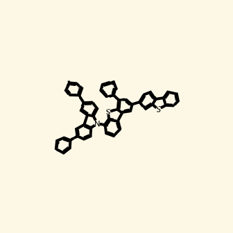 c1ccc(-c2ccc3c(c2)c2cc(-c4ccccc4)ccc2n3-c2cccc3c2sc2c(-c4ccccc4)cc(-c4ccc5c(c4)sc4ccccc45)cc23)cc1